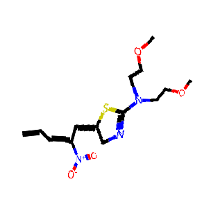 C=C/C=C(\C=C1/CN=C(N(CCOC)CCOC)S1)[N+](=O)[O-]